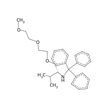 COCCOCCOC[C@H](NC(c1ccccc1)(c1ccccc1)c1ccccc1)C(C)C